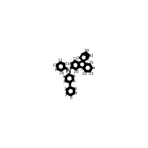 c1ccc(-c2ccc(N(c3ccccc3)c3ccc4c(c3)-c3ccccc3C43CC4CCC3C4)cc2)cc1